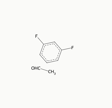 CC=O.Fc1cccc(F)c1